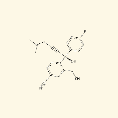 CN(C)CC#C[C@](O)(c1ccc(F)cc1)c1ccc(C#N)cc1CO